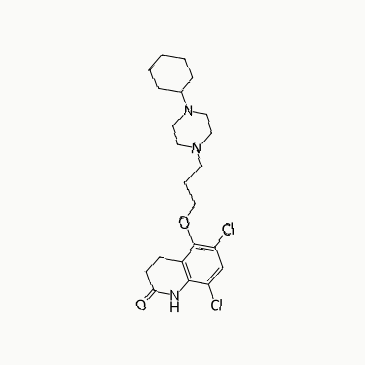 O=C1CCc2c(c(Cl)cc(Cl)c2OCCCN2CCN(C3CCCCC3)CC2)N1